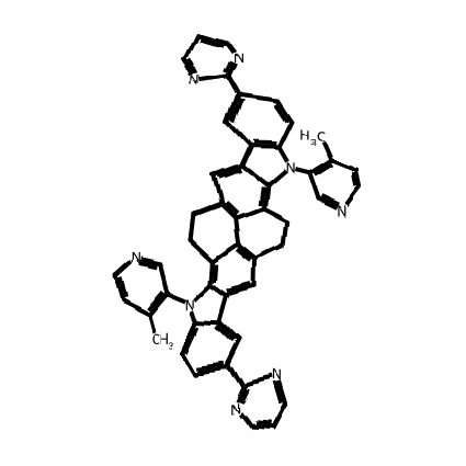 Cc1ccncc1-n1c2ccc(-c3ncccn3)cc2c2cc3c4c(c21)CCc1cc2c5cc(-c6ncccn6)ccc5n(-c5cnccc5C)c2c(c1-4)CC3